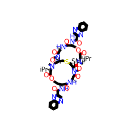 CSC1SC[C@H]2C(=O)N(C)[C@@H](C(C)C)C(=O)OCC[C@@H](NC(=O)c3cnc4ccccc4n3)C(=O)N[C@@H](C)C(=O)N(C)[C@H]1C(=O)N(C)[C@@H](C(C)C)C(=O)OC[C@@H](NC(=O)c1cnc3ccccc3n1)C(=O)N[C@@H](C)C(=O)N2C